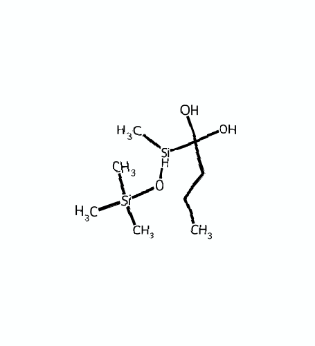 CCCC(O)(O)[SiH](C)O[Si](C)(C)C